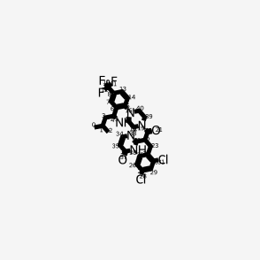 CC(C)CC(N)c1cc(C(F)(F)F)ccc1N1CCN(C(=O)C(Cc2ccc(Cl)cc2Cl)c2nccc(=O)[nH]2)CC1